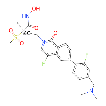 CN(C)Cc1ccc(-c2ccc3c(=O)n(CC[C@](C)(C(=O)NO)S(C)(=O)=O)cc(F)c3c2)c(F)c1